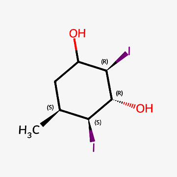 C[C@H]1CC(O)[C@@H](I)[C@H](O)[C@H]1I